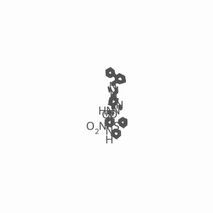 O=[N+]([O-])c1cc(S(=O)(=O)Nc2ncnc3cc(N4CCN(Cc5ccccc5-c5ccccc5)CC4)ccc23)ccc1N[C@@H]1CCCC[C@@H]1Sc1ccccc1